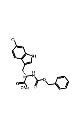 COC(=O)[C@H](Cc1c[nH]c2cc(Cl)ccc12)NC(=O)OCc1ccccc1